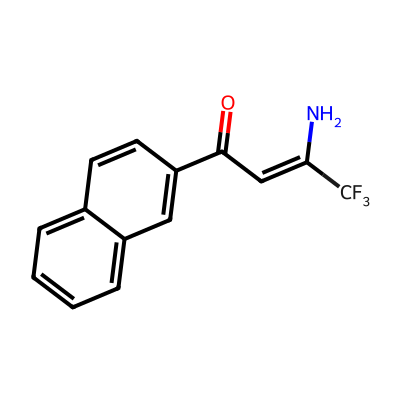 N/C(=C\C(=O)c1ccc2ccccc2c1)C(F)(F)F